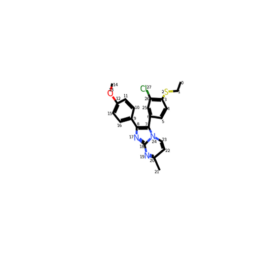 CCSc1ccc(-c2c(-c3ccc(OC)cc3)nc3nc(C)ccn23)cc1Cl